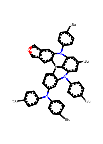 CC(C)(C)c1ccc(N(c2ccc(C(C)(C)C)cc2)c2ccc3c(c2)N(c2ccc(C(C)(C)C)cc2)c2cc(C(C)(C)C)cc4c2B3c2cc3cocc3cc2N4c2ccc(C(C)(C)C)cc2)cc1